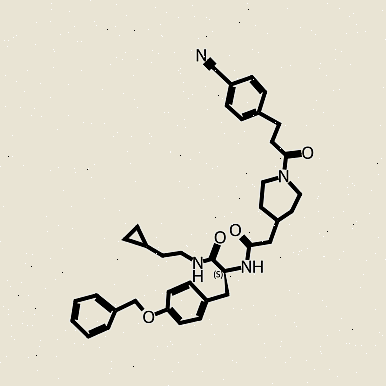 N#Cc1ccc(CCC(=O)N2CCC(CC(=O)N[C@@H](Cc3ccc(OCc4ccccc4)cc3)C(=O)NCCC3CC3)CC2)cc1